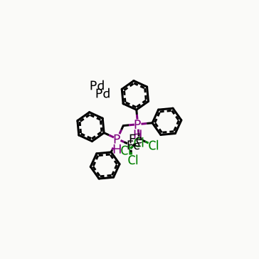 [Cl][Fe]([Cl])[PH](C[PH](c1ccccc1)(c1ccccc1)[Fe]([Cl])[Cl])(c1ccccc1)c1ccccc1.[Pd].[Pd]